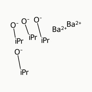 CC(C)[O-].CC(C)[O-].CC(C)[O-].CC(C)[O-].[Ba+2].[Ba+2]